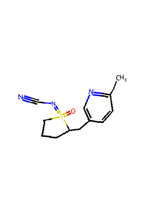 Cc1ccc(CC2CCCS2(=O)=NC#N)cn1